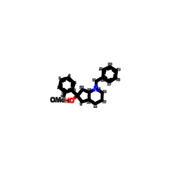 COc1ccccc1C1(O)CC2CCCN(Cc3ccccc3)C2C1